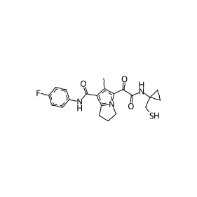 Cc1c(C(=O)Nc2ccc(F)cc2)c2n(c1C(=O)C(=O)NC1(CS)CC1)CCC2